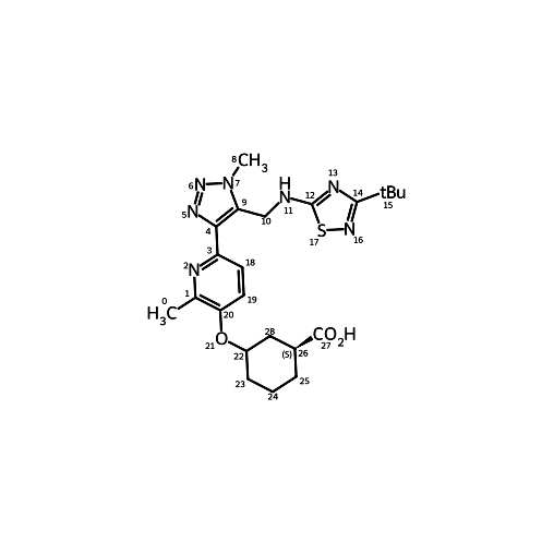 Cc1nc(-c2nnn(C)c2CNc2nc(C(C)(C)C)ns2)ccc1OC1CCC[C@H](C(=O)O)C1